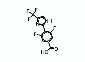 O=C(O)c1cc(F)c(-c2nc(C(F)(F)F)c[nH]2)c(F)c1